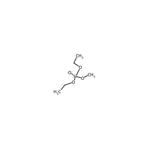 CCO[Si]([O])(OC)OCC